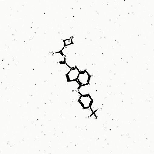 C/C(=N\C(=O)c1ccc2c(Oc3ccc(C(F)(F)F)cc3)cccc2c1)C1CNC1